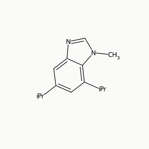 CC(C)c1cc(C(C)C)c2c(c1)ncn2C